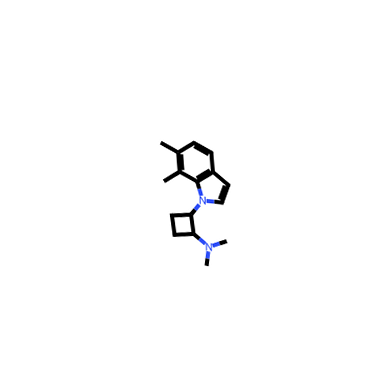 Cc1ccc2ccn(C3CCC3N(C)C)c2c1C